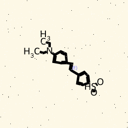 CCN(CC)c1ccc(/C=C/c2ccc([SH](=O)=O)cc2)cc1